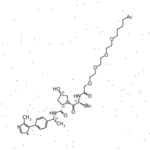 CC(=O)CCCCOCCOCCOCCOCC(=O)N[C@H](C(=O)N1C[C@H](O)C[C@H]1C(=O)N[C@@H](C)c1ccc(-c2scnc2C)cc1)C(C)(C)C